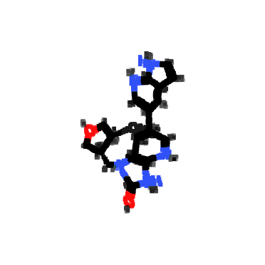 CO[C@@H]1COC[C@H]1Cn1c(=O)[nH]c2ncc(-c3cnc4[nH]ccc4c3)cc21